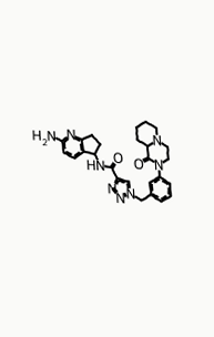 Nc1ccc2c(n1)CCC2NC(=O)c1cn(Cc2cccc(N3CCN4CCCCC4C3=O)c2)nn1